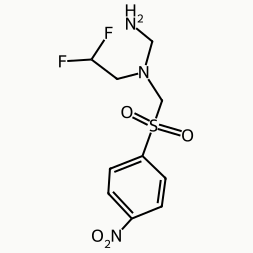 NCN(CC(F)F)CS(=O)(=O)c1ccc([N+](=O)[O-])cc1